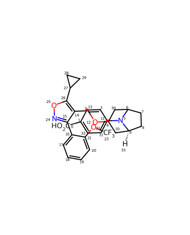 O=C(O)c1ccc(N2C3CC[C@H]2CC(OCc2c(-c4ccccc4OC(F)(F)F)noc2C2CC2)C3)cc1